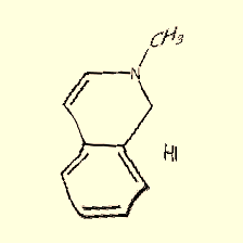 CN1C=Cc2ccccc2C1.I